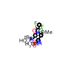 COc1ccc(-c2ccc(NS(C)(=O)=O)nc2)cc1CN(C(=O)c1sc2c(F)ccc(F)c2c1Cl)C1CCC(CN(C(=O)O)C(C)(C)C)CC1